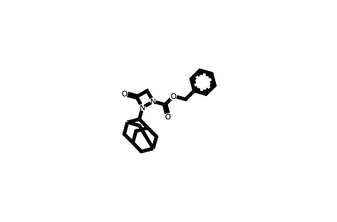 O=C(OCc1ccccc1)N1CC(=O)N1C1C2CC3CC(C2)CC1C3